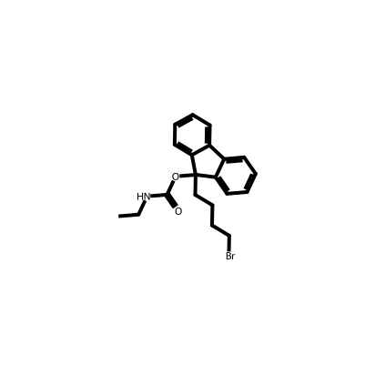 CCNC(=O)OC1(CCCCBr)c2ccccc2-c2ccccc21